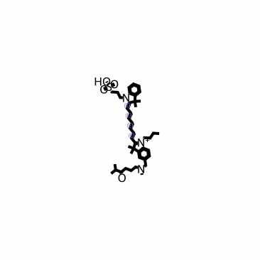 CCCC[N+]1=C(/C=C/C=C/C=C/C=C2/N(CCCS(=O)(=O)O)c3ccccc3C2(C)C)C(C)(C)c2cc(CN(C)CCCC(=O)C(C)C)ccc21